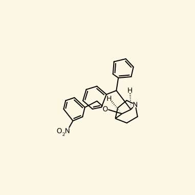 O=[N+]([O-])c1cccc(CO[C@@H]2C3CCN(CC3)[C@@H]2C(c2ccccc2)c2ccccc2)c1